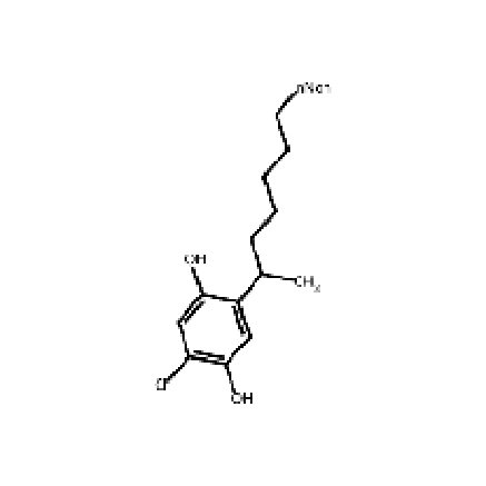 CCCCCCCCCCCCCCC(C)c1cc(O)c(Cl)cc1O